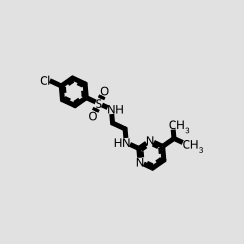 CC(C)c1ccnc(NCCNS(=O)(=O)c2ccc(Cl)cc2)n1